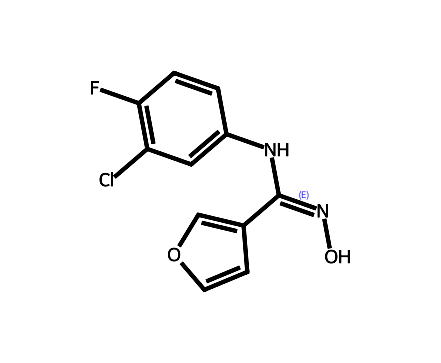 O/N=C(/Nc1ccc(F)c(Cl)c1)c1ccoc1